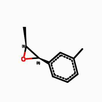 Cc1cccc([C@H]2O[C@H]2C)c1